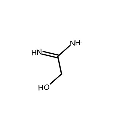 [NH]C(=N)CO